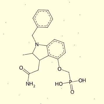 CC1C(CC(N)=O)c2c(OCP(=O)(O)O)cccc2N1Cc1ccccc1